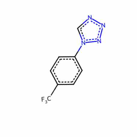 FC(F)(F)c1ccc(-n2cnnn2)cc1